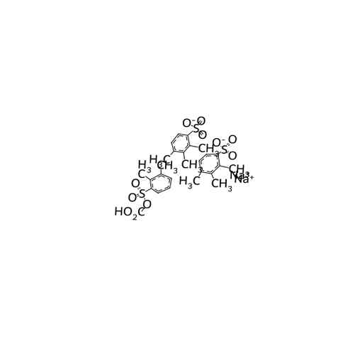 Cc1ccc(S(=O)(=O)[O-])c(C)c1C.Cc1ccc(S(=O)(=O)[O-])c(C)c1C.Cc1cccc(S(=O)(=O)OC(=O)O)c1C.[Na+].[Na+]